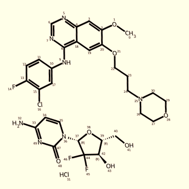 COc1cc2ncnc(Nc3ccc(F)c(Cl)c3)c2cc1OCCCN1CCOCC1.Cl.Nc1ccn([C@@H]2O[C@H](CO)[C@@H](O)C2(F)F)c(=O)n1